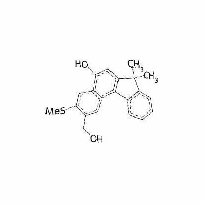 CSc1cc2c(O)cc3c(c2cc1CO)-c1ccccc1C3(C)C